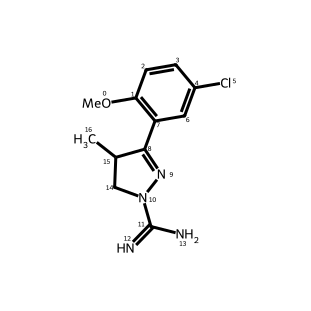 COc1ccc(Cl)cc1C1=NN(C(=N)N)CC1C